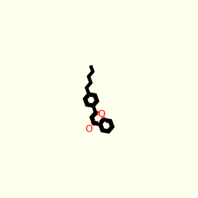 CCCCCc1ccc(-c2cc(=O)c3ccccc3o2)cc1